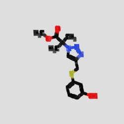 COC(=O)C(C)(C)n1cc(CSc2cccc(O)c2)nn1